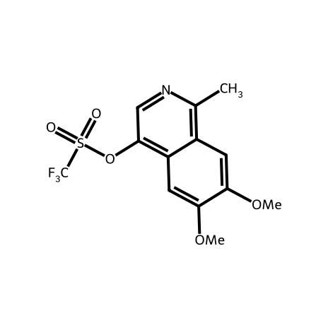 COc1cc2c(OS(=O)(=O)C(F)(F)F)cnc(C)c2cc1OC